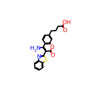 Nc1c(-c2nc3ccccc3s2)c(=O)oc2cc(CCCC(=O)O)ccc12